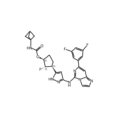 O=C(NC12CC(C1)C2)O[C@H]1CC[C@@H](c2cc(Nc3nc(-c4cc(F)cc(F)c4)cc4nccn34)n[nH]2)[C@@H]1F